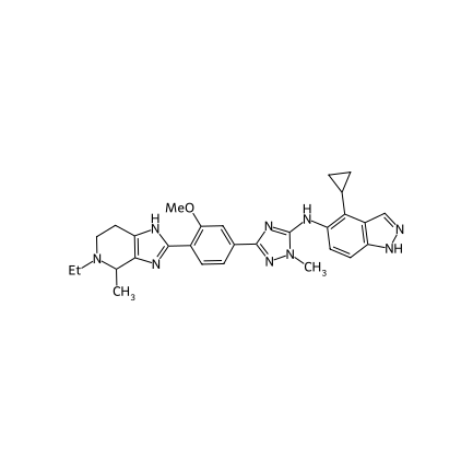 CCN1CCc2[nH]c(-c3ccc(-c4nc(Nc5ccc6[nH]ncc6c5C5CC5)n(C)n4)cc3OC)nc2C1C